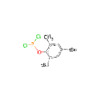 Cc1cc(C(C)(C)C)cc(C(C)(C)C)c1OP(Cl)Cl